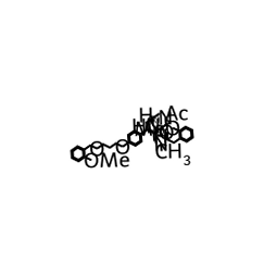 COc1ccccc1COCCCOc1ccc(C2=C(CN(C)C(=O)Cc3ccccc3OC)[C@H]3CN(C(C)=O)C[C@@H](C2)N3)cc1